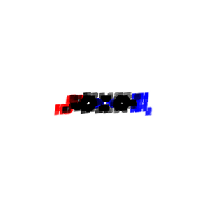 N=C(N)c1ccc(N2CCN([C@H]3CC[C@](O)(CC(=O)O)CC3)CC2)cc1